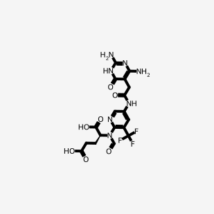 Nc1nc(N)c(CC(=O)Nc2cnc(N(C=O)[C@@H](CCC(=O)O)C(=O)O)c(C(F)(F)F)c2)c(=O)[nH]1